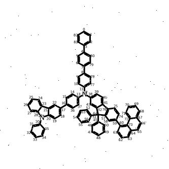 c1ccc(-c2ccc(-c3ccc(N(c4ccc(-c5ccc6c(c5)c5ccccc5n6-c5ccccc5)cc4)c4ccc5c(c4)C(c4ccccc4)(c4ccccc4)c4cc(-c6cccc7ccc8ccccc8c67)ccc4-5)cc3)cc2)cc1